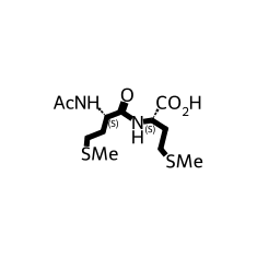 CSCC[C@H](NC(=O)[C@H](CCSC)NC(C)=O)C(=O)O